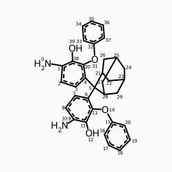 Nc1ccc(C2(c3ccc(N)c(O)c3Oc3ccccc3)C3CC4CC(C3)CC2C4)c(Oc2ccccc2)c1O